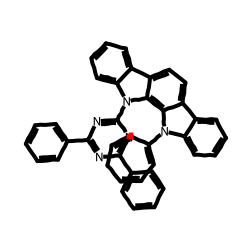 C1=CCC=CC(n2c3ccccc3c3ccc4c5ccccc5n(-c5nc(-c6ccccc6)nc(-c6ccccc6)n5)c4c32)=C1